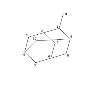 CC1C2C[C]3CC(C2)CC1C3